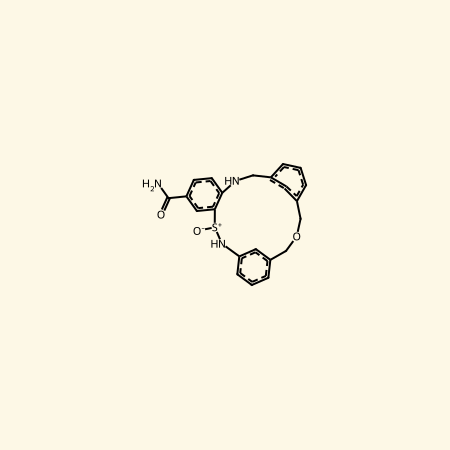 NC(=O)c1ccc2c(c1)[S+]([O-])Nc1cccc(c1)COCc1cccc(c1)CN2